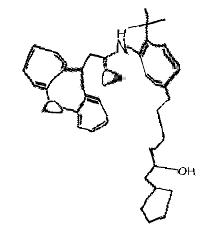 CC(C)(C)c1ccc(CCCCC(O)CC2CCCC2)cc1NC(=O)CC1c2ccccc2Oc2ccccc21